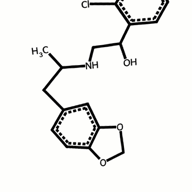 CC(Cc1ccc2c(c1)OCO2)NCC(O)c1ccccc1Cl